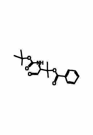 CC(C)(C)OC(=O)N[C@H](C=O)C(C)(C)OC(=O)c1ccccc1